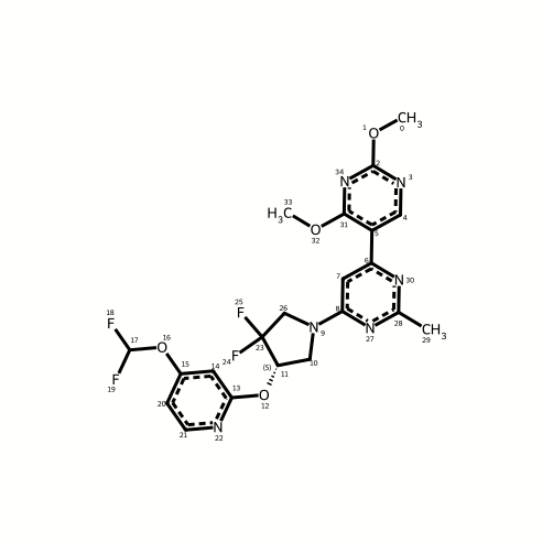 COc1ncc(-c2cc(N3C[C@H](Oc4cc(OC(F)F)ccn4)C(F)(F)C3)nc(C)n2)c(OC)n1